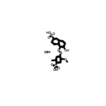 COc1cc(S(=O)(=O)O)c(C)cc1N=Nc1c(O)ccc2cc(S(=O)(=O)O)ccc12.[Na].[Na]